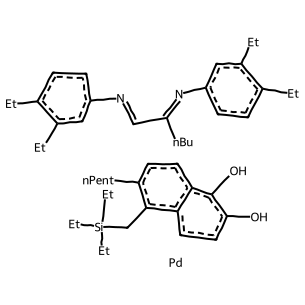 CCCCC(C=Nc1ccc(CC)c(CC)c1)=Nc1ccc(CC)c(CC)c1.CCCCCc1ccc2c(O)c(O)ccc2c1C[Si](CC)(CC)CC.[Pd]